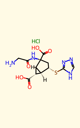 Cl.NCC(=O)N[C@@]1(C(=O)O)C[C@H](Sc2nnc[nH]2)[C@H]2[C@H](C(=O)O)[C@H]21